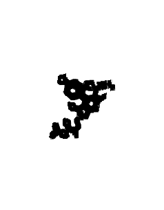 C=C(C)OC(=O)N(C)CCN1Cc2nc(C)c(CN)c(-c3ccc(Cl)cc3Cl)c2C1=O